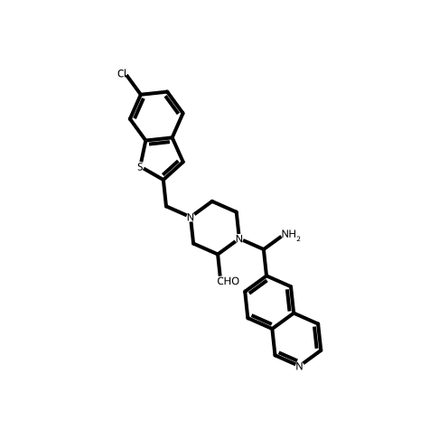 NC(c1ccc2cnccc2c1)N1CCN(Cc2cc3ccc(Cl)cc3s2)CC1C=O